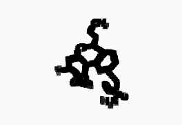 C=CCC1Oc2cc(F)cc(OC)c2-c2cc(CS(N)(=O)=O)ccc21